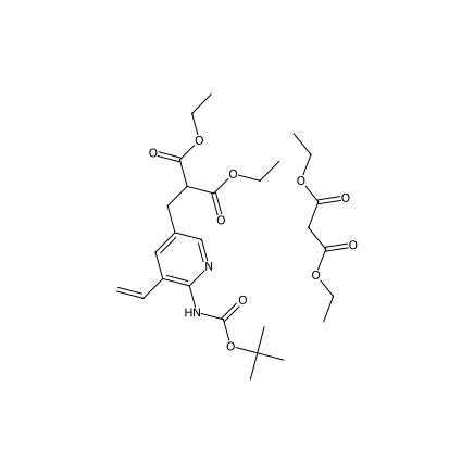 C=Cc1cc(CC(C(=O)OCC)C(=O)OCC)cnc1NC(=O)OC(C)(C)C.CCOC(=O)CC(=O)OCC